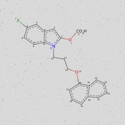 O=C(O)Oc1cc2cc(F)ccc2n1CCCOc1cccc2ccccc12